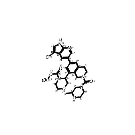 CC1CN(C(=O)N2CCc3cc(-c4cnc5[nH]cc(Cl)c5c4)cc(C4COCCN4C(=O)OC(C)(C)C)c3C2)CCO1